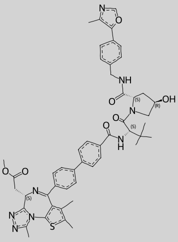 COC(=O)C[C@@H]1N=C(c2ccc(-c3ccc(C(=O)N[C@H](C(=O)N4C[C@H](O)C[C@H]4C(=O)NCc4ccc(-c5ocnc5C)cc4)C(C)(C)C)cc3)cc2)c2c(sc(C)c2C)-n2c(C)nnc21